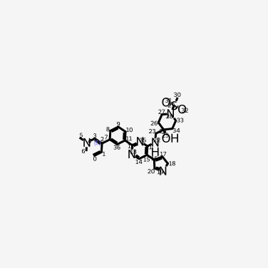 C=C/C(=C\N(C)C)c1cccc(-c2ncc(C3=CCN=C3)c(NCC3(O)CCN(S(C)(=O)=O)CC3)n2)c1